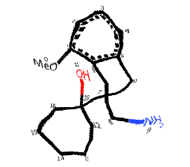 COc1cccc2c1C(CN)(C1(O)CCCCC1)C2